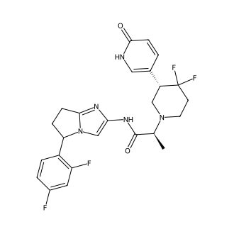 C[C@@H](C(=O)Nc1cn2c(n1)CCC2c1ccc(F)cc1F)N1CCC(F)(F)[C@@H](c2ccc(=O)[nH]c2)C1